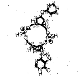 O=c1[nH]cnc2c1nnn2[C@@H]1O[C@@H]2COP(=O)(S)OC[C@H]3C[C@H](Oc4ccncn4)C[C@@H]3COP(=O)(S)O[C@@H]1[C@@H]2O